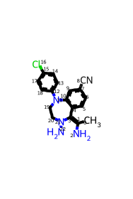 C/C(N)=C1\c2ccc(C#N)cc2N(c2ccc(Cl)cc2)CCN1N